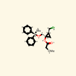 COCC(=O)O[C@]1(CO[Si](c2ccccc2)(c2ccccc2)C(C)(C)C)C[C@@H]1CBr